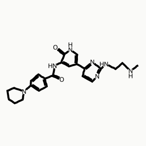 CNCCNc1nccc(-c2c[nH]c(=O)c(NC(=O)c3ccc(N4CCCCC4)cc3)c2)n1